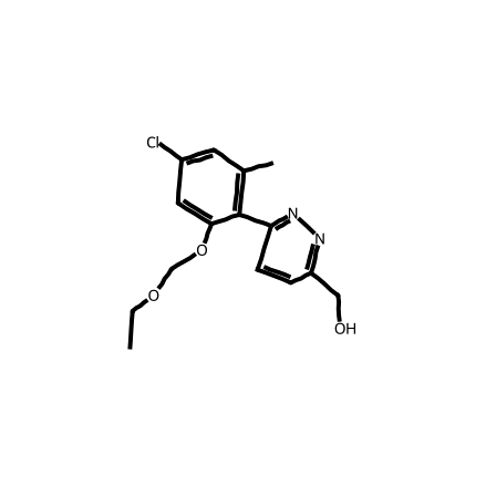 CCOCOc1cc(Cl)cc(C)c1-c1ccc(CO)nn1